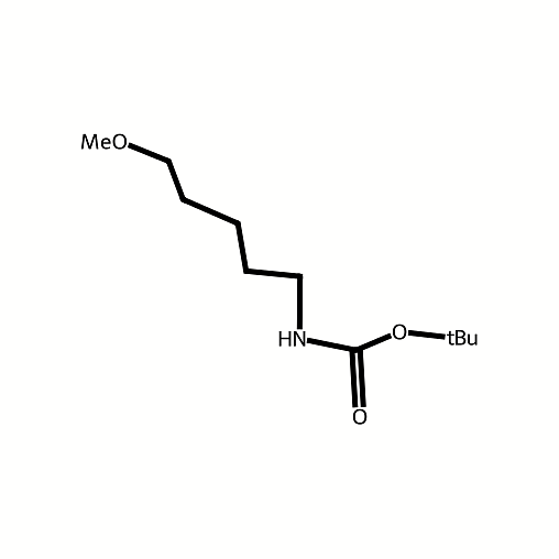 COCCCCCNC(=O)OC(C)(C)C